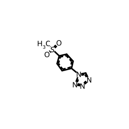 CS(=O)(=O)c1ccc(-n2cnnn2)cc1